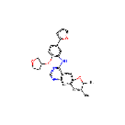 CCC(C)CC(CC)Oc1cc2c(Nc3cc(-c4ccco4)ccc3OC3CCOC3)ncnc2cc1OC